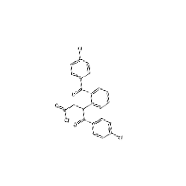 O=C(Cl)CC(C(=O)c1ccc(Cl)cc1)c1ccccc1C(=O)c1ccc(Cl)cc1